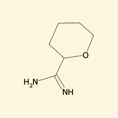 N=C(N)C1CCCCO1